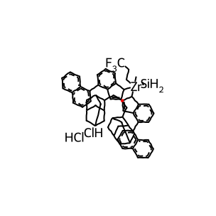 Cl.Cl.[CH3][Zr](=[SiH2])([CH2]CC(F)(F)F)([CH]1C(CC2C3CC4CC(C3)CC2C4)=Cc2c(-c3cccc4ccccc34)cccc21)[CH]1C(CC2C3CC4CC(C3)CC2C4)=Cc2c(-c3cccc4ccccc34)cccc21